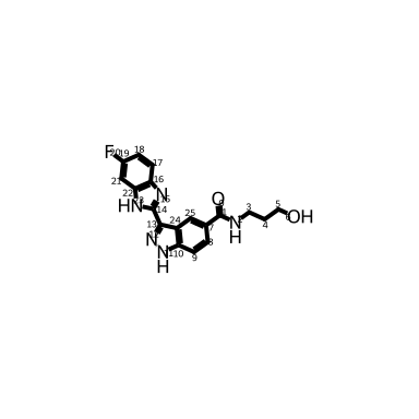 O=C(NCCCO)c1ccc2[nH]nc(-c3nc4ccc(F)cc4[nH]3)c2c1